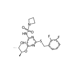 C[C@H](O)[C@H](C)Oc1cc(NS(=O)(=O)N2CCC2)nc(SCc2cccc(F)c2F)n1